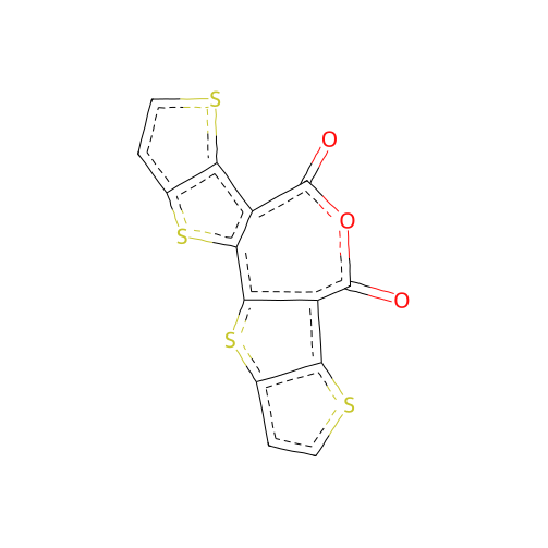 O=c1oc(=O)c2c3sccc3sc2c2sc3ccsc3c12